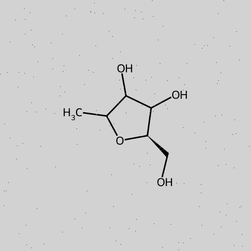 CC1O[C@H](CO)C(O)C1O